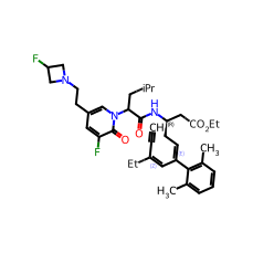 C#C/C(=C\C(=C/C[C@H](CC(=O)OCC)NC(=O)C(CC(C)C)n1cc(CCN2CC(F)C2)cc(F)c1=O)c1c(C)cccc1C)CC